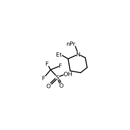 CCCN1CCCCC1CC.O=S(=O)(O)C(F)(F)F